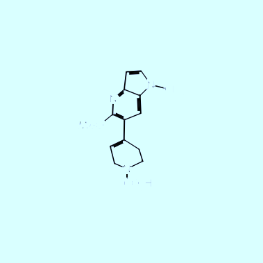 COc1nc2ccn(C)c2cc1C1=CCN(C(=O)O)CC1